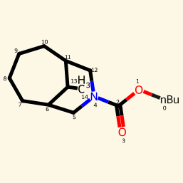 CCCCOC(=O)N1CC2CCCCC(C1)C2C